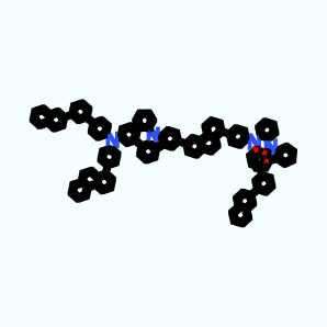 c1ccc(-n2c3ccc(-c4ccc5ccc6c(-c7ccc(N(c8ccc(-c9cccc(-c%10ccc%11ccccc%11c%10)c9)cc8)c8ccccc8-n8c9ccccc9c9ccccc98)cc7)cccc6c5c4)cc3c3cccc(-c4cccc(N(c5ccc(-c6cccc(-c7ccc8ccccc8c7)c6)cc5)c5ccc(-c6cccc7c6ccc6ccccc67)cc5)c4)c32)cc1